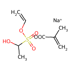 C=C(C)C(=O)[O-].C=COS(=O)(=O)C(C)O.[Na+]